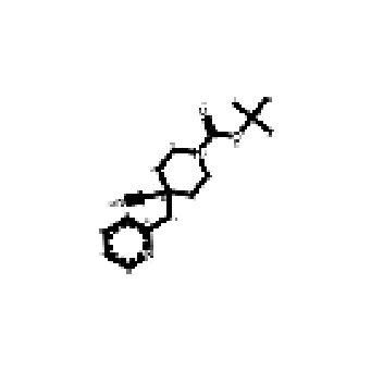 CC(C)(C)OC(=O)N1CCC(C#N)(Cc2ccccn2)CC1